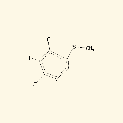 CSc1c[c]c(F)c(F)c1F